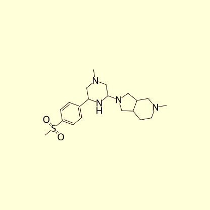 CN1CCC2CN(C3CN(C)CC(c4ccc(S(C)(=O)=O)cc4)N3)CC2C1